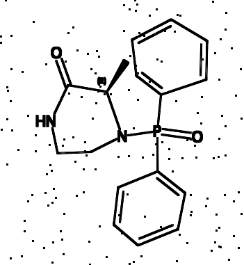 C[C@@H]1C(=O)NCCN1P(=O)(c1ccccc1)c1ccccc1